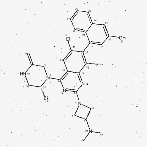 C=C1CN(c2nc(N3CC(N(C)C)C3)nc3c(F)c(-c4cc(O)cc5ccccc45)c(Cl)cc23)[C@H](CC)CN1